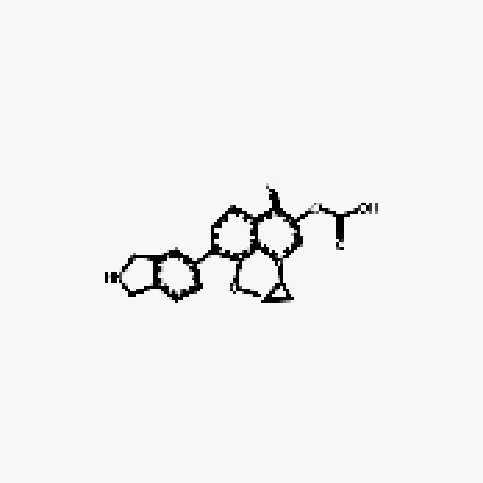 COc1c(-c2ccc3c(c2)CNC3)ccc2c(=O)c(OC(=O)O)cn(C3CC3)c12